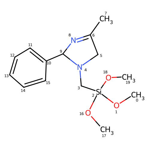 CO[Si](CN1CC(C)=NC1c1ccccc1)(OC)OC